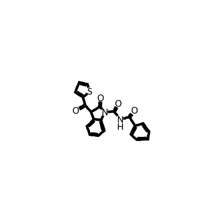 O=C(NC(=O)N1C(=O)C(C(=O)c2cccs2)c2ccccc21)c1ccccc1